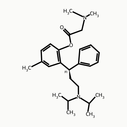 Cc1ccc(OC(=O)CN(C)C)c([C@H](CCN(C(C)C)C(C)C)c2ccccc2)c1